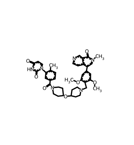 COc1cc(-c2cn(C)c(=O)c3cnccc23)cc(OC)c1CN1CCC(OC2CCN(C(=O)c3ccc(C)c(-n4ccc(=O)[nH]c4=O)c3)CC2)CC1